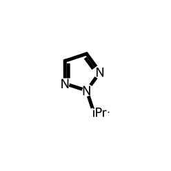 C[C](C)n1nccn1